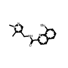 Cc1c(CNC(=O)c2ccc3cccc(C(C)(C)C)c3n2)cnn1C